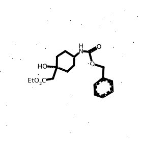 CCOC(=O)CC1(O)CCC(NC(=O)OCc2ccccc2)CC1